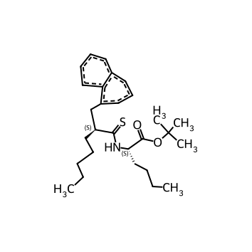 CCCCC[C@@H](Cc1cccc2ccccc12)C(=S)N[C@@H](CCCC)C(=O)OC(C)(C)C